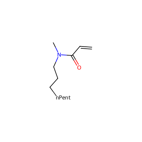 C=CC(=O)N(C)CCCCCCCC